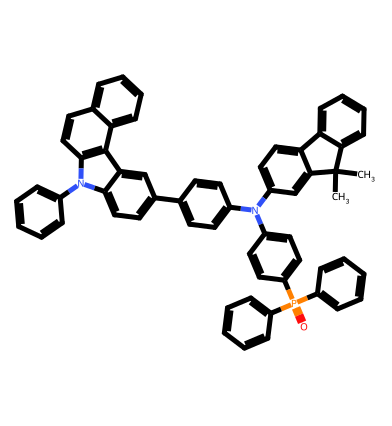 CC1(C)c2ccccc2-c2ccc(N(c3ccc(-c4ccc5c(c4)c4c6ccccc6ccc4n5-c4ccccc4)cc3)c3ccc(P(=O)(c4ccccc4)c4ccccc4)cc3)cc21